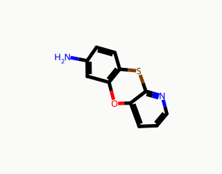 Nc1ccc2c(c1)Oc1cccnc1S2